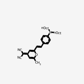 CCCCCCCCN(CCCCCCCC)c1ccc(C=CC2=CC(=C(C#N)C#N)C=C(C)O2)cc1